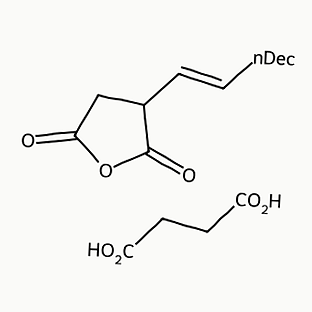 CCCCCCCCCCC=CC1CC(=O)OC1=O.O=C(O)CCC(=O)O